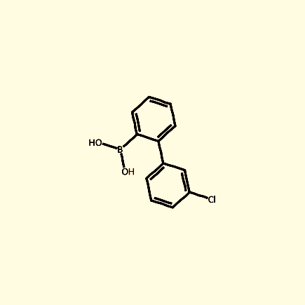 OB(O)c1ccccc1-c1cccc(Cl)c1